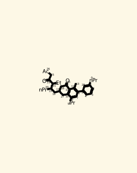 CCCc1cccc(-c2cc(C(C)C)c3c(c2C)C(=O)CC(CC(CCC)C(CC)C(=O)CC(C)=O)C3)c1